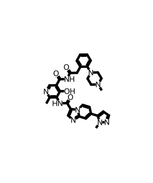 Cc1ncc(C(=O)NC(=O)Cc2ccccc2N2CCN(C)CC2)c(O)c1NC(=O)c1cnc2cc(-c3ccnn3C)ccn12